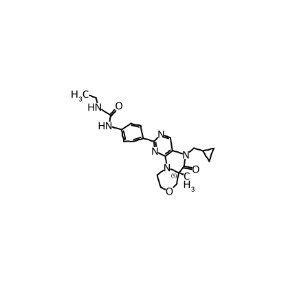 CCNC(=O)Nc1ccc(-c2ncc3c(n2)N2CCOC[C@@]2(C)C(=O)N3CC2CC2)cc1